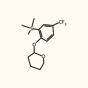 C[Si](C)(C)c1cc(C(F)(F)F)ccc1OC1CCCCO1